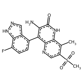 Cc1c(S(C)(=O)=O)cnc2c(-c3ccc(F)c4[nH]ncc34)c(N)c(=O)[nH]c12